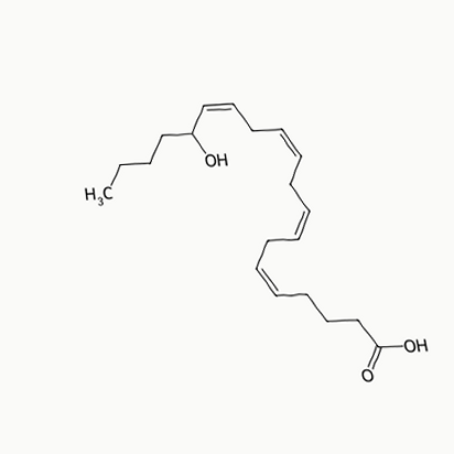 CCCCC(O)/C=C\C/C=C\C/C=C\C/C=C\CCCC(=O)O